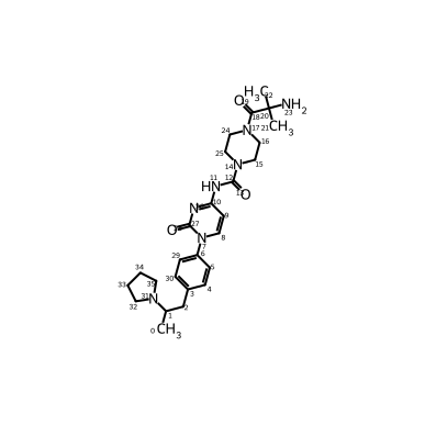 CC(Cc1ccc(-n2ccc(NC(=O)N3CCN(C(=O)C(C)(C)N)CC3)nc2=O)cc1)N1CCCC1